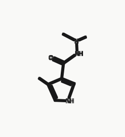 Cc1c[nH]cc1C(=O)NN(C)C